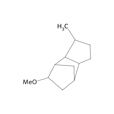 COC1CC2CC1C1C(C)CCC21